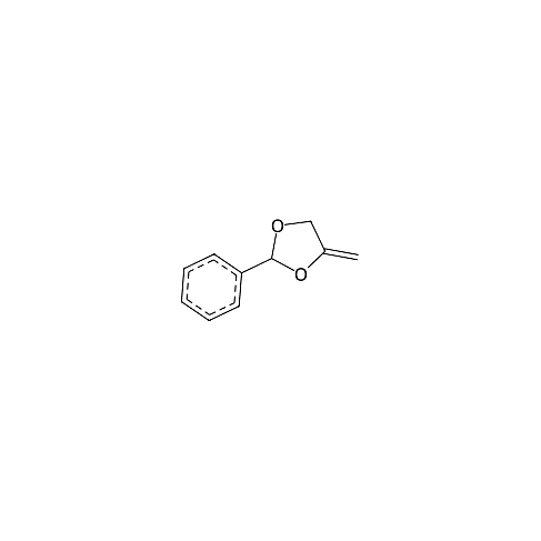 C=C1COC(c2ccccc2)O1